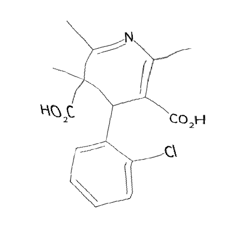 CC1=NC(C)=C(C(=O)O)C(c2ccccc2Cl)C1(C)C(=O)O